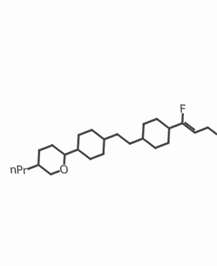 CCCC1CCC(C2CCC(CCC3CCC(/C(F)=C/CF)CC3)CC2)OC1